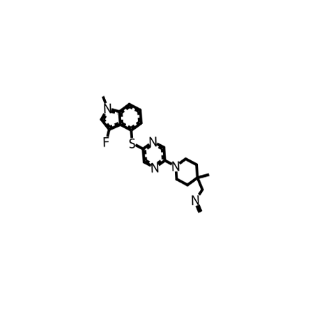 C=NCC1(C)CCN(c2cnc(Sc3cccc4c3c(F)cn4C)cn2)CC1